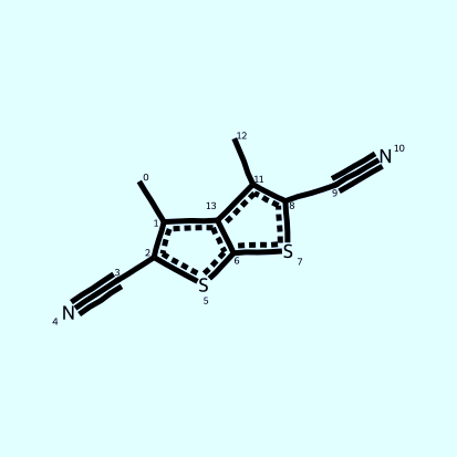 Cc1c(C#N)sc2sc(C#N)c(C)c12